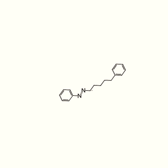 [CH](CCCCc1ccccc1)N=Nc1ccccc1